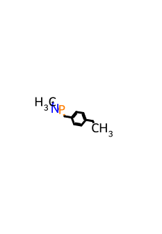 CCc1ccc(CP=NC)cc1